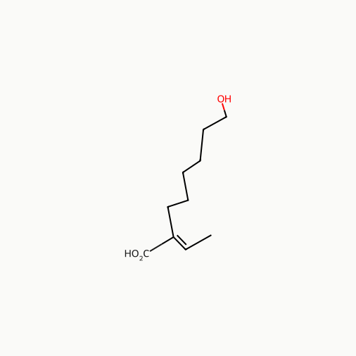 CC=C(CCCCCCO)C(=O)O